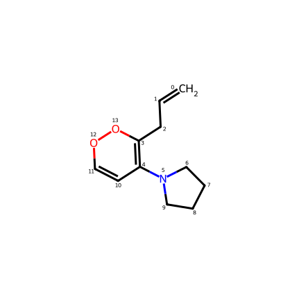 C=CCC1=C(N2CCCC2)C=COO1